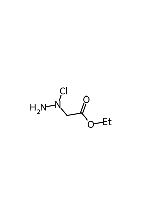 CCOC(=O)CN(N)Cl